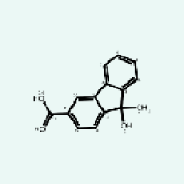 CC1(O)c2ccccc2-c2cc(C(=O)O)ccc21